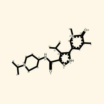 Cc1cc(-c2[nH]nc(C(=O)NC3CCN(C(C)C)CC3)c2C(C)C)cn(C)c1=O